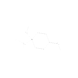 CNC1[CH]CC(NC)(NC)CC1